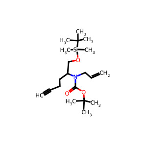 C#CCCC(CO[Si](C)(C)C(C)(C)C)N(CC=C)C(=O)OC(C)(C)C